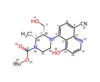 C[C@@H]1[C@H](CO)N(c2ccc(C#N)c3nccc(O)c23)CCN1C(=O)OC(C)(C)C